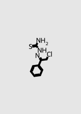 NC(=S)NN=C(CCl)c1ccccc1